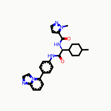 CC1CCC([C@H](NC(=O)c2ccnn2C)C(=O)Nc2ccc(-c3cccc4nccn34)cc2)CC1